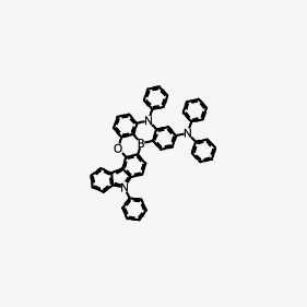 c1ccc(N(c2ccccc2)c2ccc3c(c2)N(c2ccccc2)c2cccc4c2B3c2ccc3c(c2O4)c2ccccc2n3-c2ccccc2)cc1